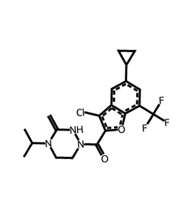 C=C1NN(C(=O)c2oc3c(C(F)(F)F)cc(C4CC4)cc3c2Cl)CCN1C(C)C